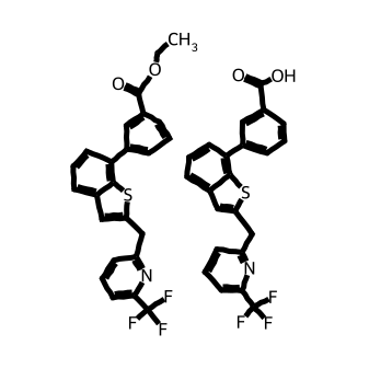 CCOC(=O)c1cccc(-c2cccc3cc(Cc4cccc(C(F)(F)F)n4)sc23)c1.O=C(O)c1cccc(-c2cccc3cc(Cc4cccc(C(F)(F)F)n4)sc23)c1